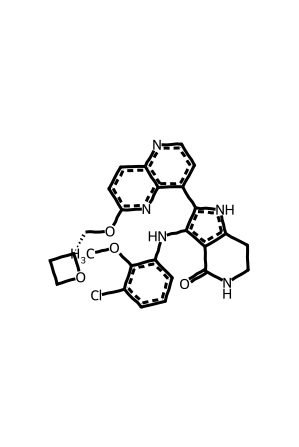 COc1c(Cl)cccc1Nc1c(-c2ccnc3ccc(OC[C@H]4CCO4)nc23)[nH]c2c1C(=O)NCC2